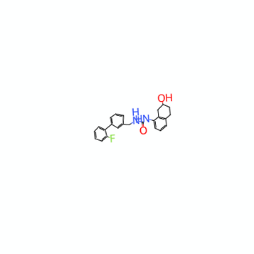 O=C(NCc1cccc(-c2ccccc2F)c1)Nc1cccc2c1CC(O)CC2